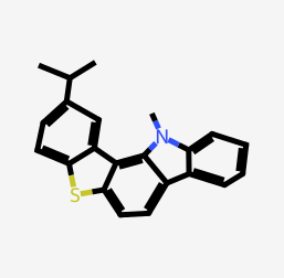 CC(C)c1ccc2sc3ccc4c5ccccc5n(C)c4c3c2c1